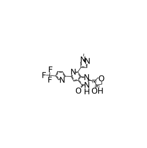 Cn1cc(-c2nc(-c3ccc(C(F)(F)F)cn3)cc3c(=O)[nH]c([C@H]4COC[C@@H]4O)nc23)cn1